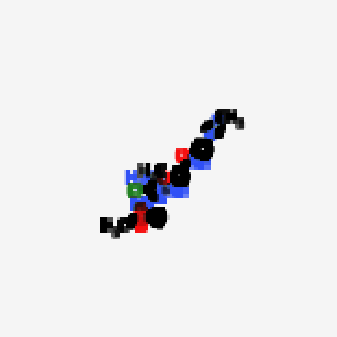 CCCS(=O)(=O)c1ccccc1Nc1nc(Nc2ccc(C(=O)Nc3ccc(N4CCN(C)CC4)cc3)cc2OC)nc(N)c1Cl